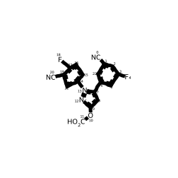 N#Cc1cc(F)cc(-c2cc(OC(=O)O)nn2-c2ccc(F)c(C#N)c2)c1